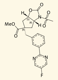 COC(=O)[C@@]1(Cc2cccc(-c3ncc(F)cn3)c2)C[C@@H]2OC(=O)N(S(C)(=O)=O)[C@@H]2C1